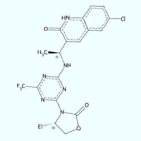 CC[C@H]1COC(=O)N1c1nc(N[C@@H](C)c2cc3cc(Cl)ccc3[nH]c2=O)nc(C(F)(F)F)n1